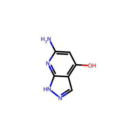 Nc1cc(O)c2cn[nH]c2n1